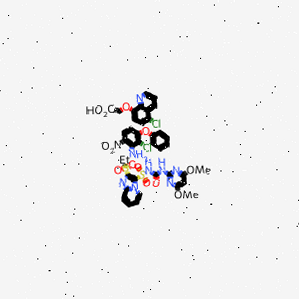 CCS(=O)(=O)c1nc2ccccn2c1S(=O)(=O)NC(=O)Nc1nc(OC)cc(OC)n1.Nc1c([N+](=O)[O-])ccc(Oc2ccccc2)c1Cl.O=C(O)COc1ccc(Cl)c2cccnc12